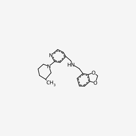 CC1CCCN(c2cc(CNCc3cccc4c3OCO4)ccn2)C1